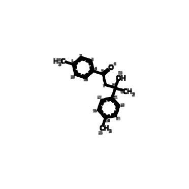 Cc1ccc(C(=O)CC(C)(O)c2ccc(C)cc2)cc1